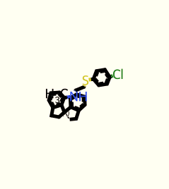 Cc1cccc2c1[C@@]1(CC2)CCc2cccc(NCCSc3ccc(Cl)cc3)c21